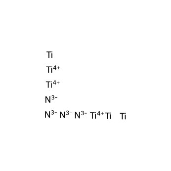 [N-3].[N-3].[N-3].[N-3].[Ti+4].[Ti+4].[Ti+4].[Ti].[Ti].[Ti]